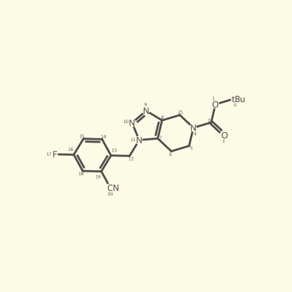 CC(C)(C)OC(=O)N1CCc2c(nnn2Cc2ccc(F)cc2C#N)C1